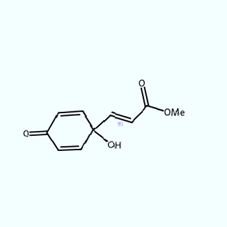 COC(=O)/C=C/C1(O)C=CC(=O)C=C1